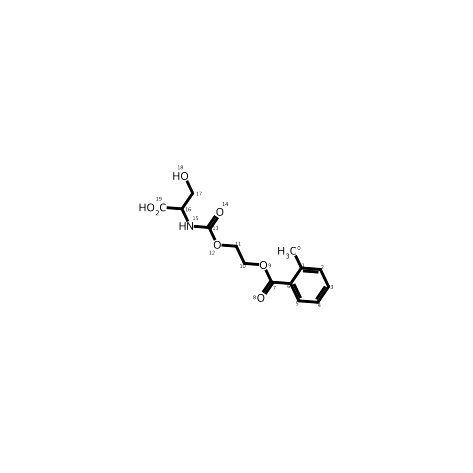 Cc1ccccc1C(=O)OCCOC(=O)NC(CO)C(=O)O